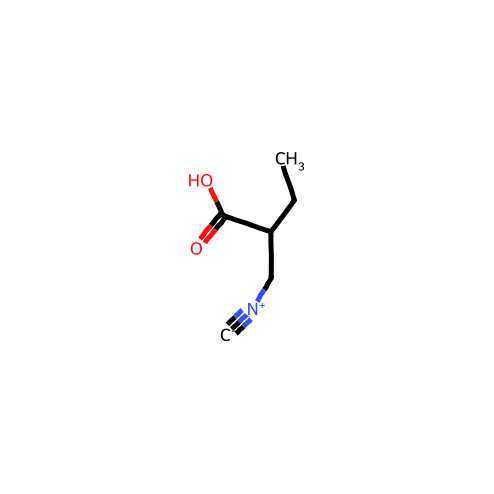 [C-]#[N+]CC(CC)C(=O)O